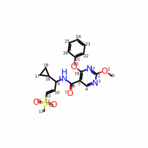 COc1ncc(C(=O)NC(C=CS(C)(=O)=O)C2CC2)c(Oc2ccccc2)n1